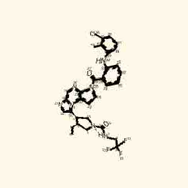 CC[C@@H]1CN(C(=O)NCC(F)(F)F)C[C@@H]1c1cnc2cnc3c(ccn3C(=O)c3ccccc3Nc3cccc(Cl)c3C)n12